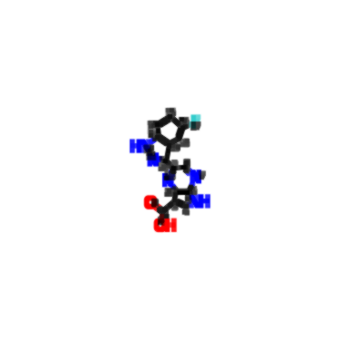 O=C(O)c1c[nH]c2ncc(-c3n[nH]c4ccc(F)cc34)nc12